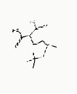 CC(CCC(C(=O)O)C(=O)O)CC(C)(C)C